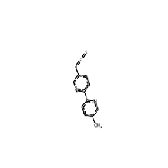 Cc1ccc(-c2ccc(N=C=S)cn2)nc1